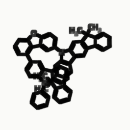 CC1(C)c2ccccc2-c2cc3c4cc5c(cc4n(-c4ccc6oc7cccc(-c8ccc9c(c8)c8ccccc8n9-c8ccccc8)c7c6c4)c3cc21)C(C)(C)c1ccccc1-5